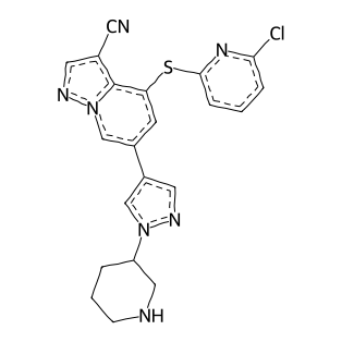 N#Cc1cnn2cc(-c3cnn(C4CCCNC4)c3)cc(Sc3cccc(Cl)n3)c12